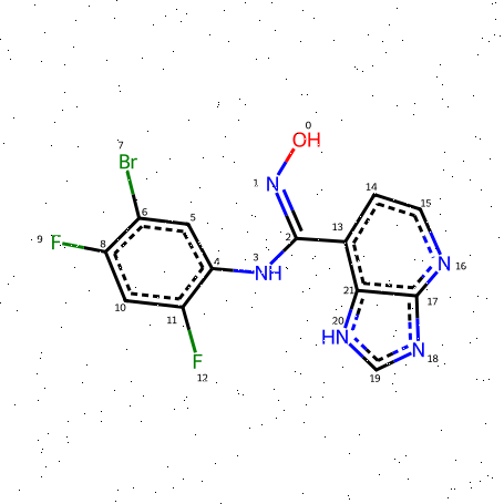 O/N=C(/Nc1cc(Br)c(F)cc1F)c1ccnc2nc[nH]c12